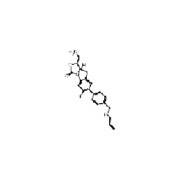 C=CCNCc1ccc(-c2cc3c(cc2F)N2C(=O)OC(CN)[C@@H]2C3)cc1